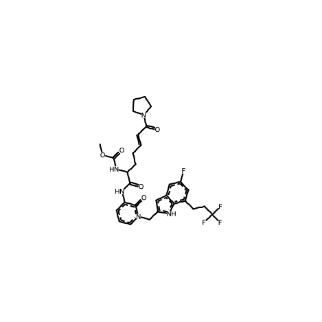 COC(=O)NC(CC/C=C/C(=O)N1CCCC1)C(=O)Nc1cccn(Cc2cc3cc(F)cc(CCC(F)(F)F)c3[nH]2)c1=O